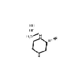 BC.C1CNCCN1.F.F.F.[KH]